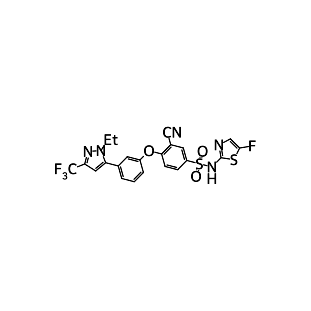 CCn1nc(C(F)(F)F)cc1-c1cccc(Oc2ccc(S(=O)(=O)Nc3ncc(F)s3)cc2C#N)c1